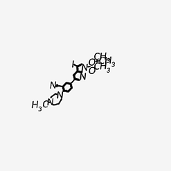 CN1CCCN(c2ccc(-c3cnc4c(c3)c(I)cn4C(=O)OC(C)(C)C)cc2C#N)CC1